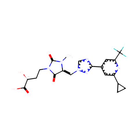 CN1C(=O)N(CC[C@H](O)C(=O)O)C(=O)/C1=C/n1cnc(-c2cc(C3CC3)nc(C(F)(F)F)c2)n1